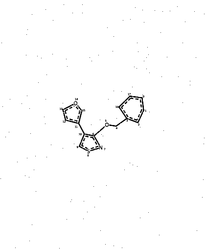 c1ccc(COc2nscc2-c2ccoc2)cc1